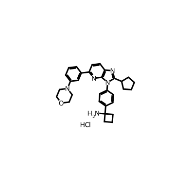 Cl.NC1(c2ccc(-n3c(C4CCCC4)nc4ccc(-c5cccc(N6CCOCC6)c5)nc43)cc2)CCC1